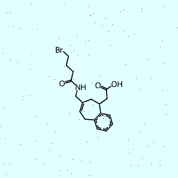 O=C(O)CC1CC(CNC(=O)CCCBr)=CCc2ccccc21